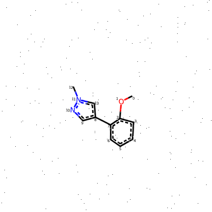 COc1ccccc1-c1cnn(C)c1